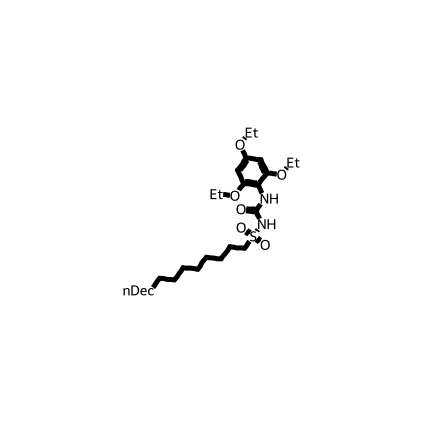 CCCCCCCCCCCCCCCCCCS(=O)(=O)NC(=O)Nc1c(OCC)cc(OCC)cc1OCC